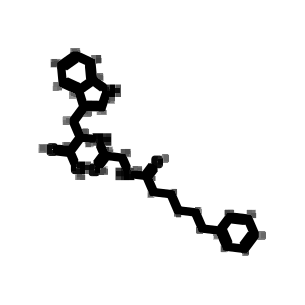 O=C(CCCCCc1ccccc1)NCC(=O)NC(Cc1c[nH]c2ccccc12)C(=O)O